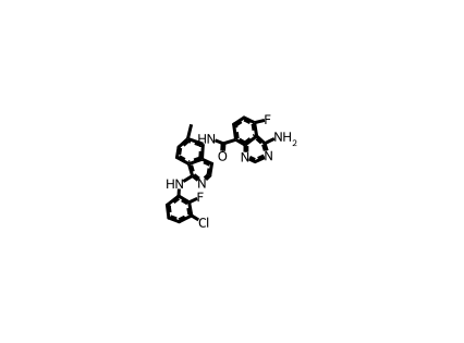 Cc1ccc2c(Nc3cccc(Cl)c3F)nccc2c1NC(=O)c1ccc(F)c2c(N)ncnc12